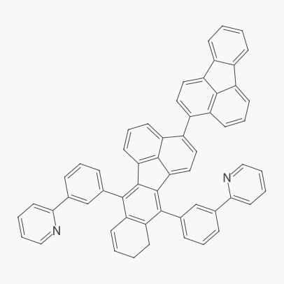 C1=Cc2c(c(-c3cccc(-c4ccccn4)c3)c3c(c2-c2cccc(-c4ccccn4)c2)-c2cccc4c(-c5ccc6c7c(cccc57)-c5ccccc5-6)ccc-3c24)CC1